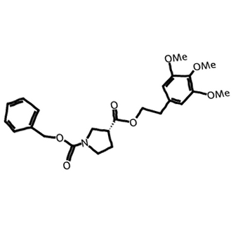 COc1cc(CCOC(=O)[C@@H]2CCN(C(=O)OCc3ccccc3)C2)cc(OC)c1OC